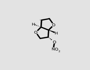 O=[N+]([O-])O[C@@H]1CO[C@H]2[C]CO[C@@H]21